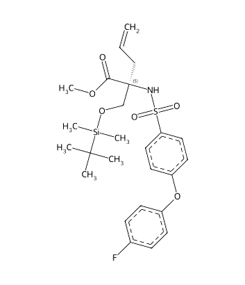 C=CC[C@@](CO[Si](C)(C)C(C)(C)C)(NS(=O)(=O)c1ccc(Oc2ccc(F)cc2)cc1)C(=O)OC